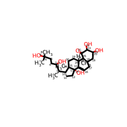 C[C@H](C(O)CCC(C)(C)O)[C@H]1CC[C@@]2(O)C3=CCC4CC(O)C(O)C(=O)[C@]4(C)[C@H]3CC[C@]12C